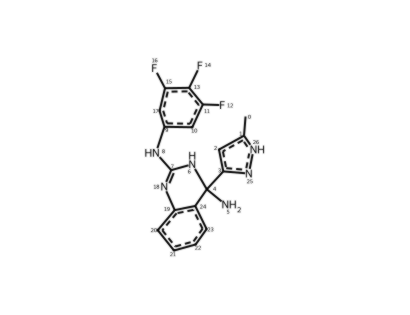 Cc1cc(C2(N)NC(Nc3cc(F)c(F)c(F)c3)=Nc3ccccc32)n[nH]1